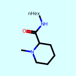 CCCCCCNC(=O)C1CCCCN1C